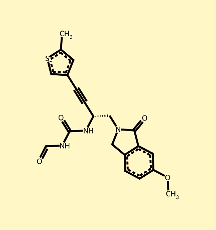 COc1ccc2c(c1)C(=O)N(C[C@@H](C#Cc1csc(C)c1)NC(=O)NC=O)C2